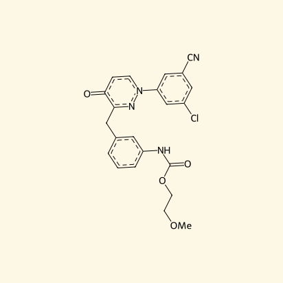 COCCOC(=O)Nc1cccc(Cc2nn(-c3cc(Cl)cc(C#N)c3)ccc2=O)c1